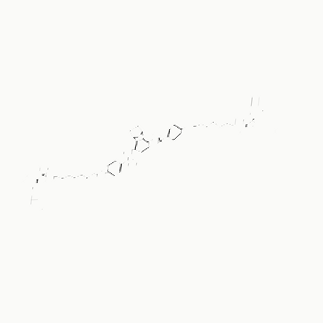 C=C(C)C(=O)OCCCCCCCOc1ccc(C(=O)Oc2ccc(OC(=O)c3ccc(OCCCCCCCOC(=O)C(=C)C)cc3)c3c2C2CCC3C2)cc1